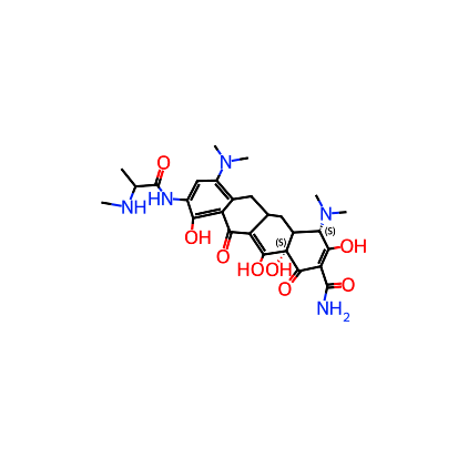 CNC(C)C(=O)Nc1cc(N(C)C)c2c(c1O)C(=O)C1=C(O)[C@]3(O)C(=O)C(C(N)=O)=C(O)[C@@H](N(C)C)C3CC1C2